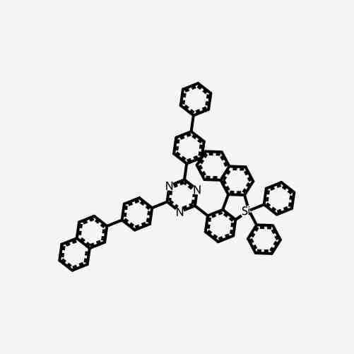 c1ccc(-c2ccc(-c3nc(-c4ccc(-c5ccc6ccccc6c5)cc4)nc(-c4cccc5c4-c4c(ccc6ccccc46)[Si]5(c4ccccc4)c4ccccc4)n3)cc2)cc1